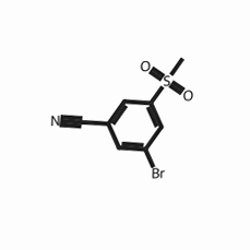 CS(=O)(=O)c1cc(Br)cc(C#N)c1